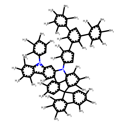 Bc1cc2c(cc1B)C1(c3cc(B)c(B)c(B)c3-c3c(B)c(B)c(B)c(B)c31)c1c(B)c(B)c(B)c(N(c3ccc(-c4c(B)c(-c5c(B)c(B)c(B)c(B)c5B)cc(-c5c(B)c(B)c(B)c(B)c5B)c4B)c(B)c3B)c3cc4c(c(B)c3B)c3c(B)c(B)c(B)c(B)c3n4-c3cc(B)c(B)c(B)c3B)c1-2